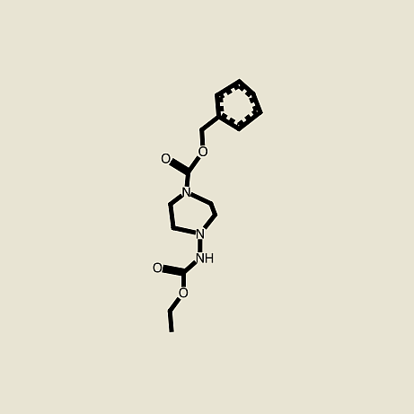 CCOC(=O)NN1CCN(C(=O)OCc2ccccc2)CC1